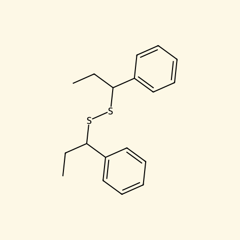 CCC(SSC(CC)c1ccccc1)c1ccccc1